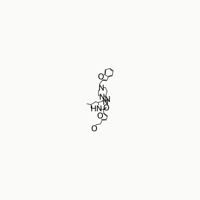 CC(C)CC(NC(=O)c1ccc(CC=O)o1)c1nnc2n1CCN(Cc1cc3ccccc3o1)CC2